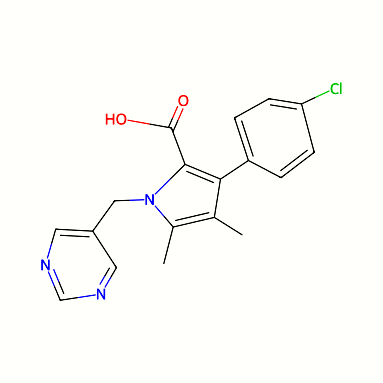 Cc1c(-c2ccc(Cl)cc2)c(C(=O)O)n(Cc2cncnc2)c1C